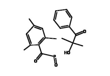 CC(C)(O)C(=O)c1ccccc1.Cc1cc(C)c(C(=O)P=O)c(C)c1